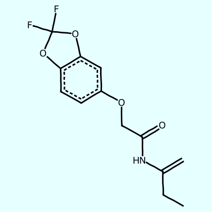 C=C(CC)NC(=O)COc1ccc2c(c1)OC(F)(F)O2